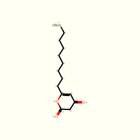 CCCCCCCCCCCCCCCCCC1=CC(=O)CC(=O)O1